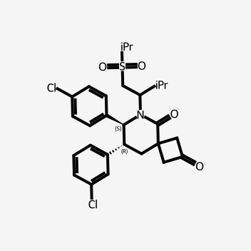 CC(C)C(CS(=O)(=O)C(C)C)N1C(=O)C2(CC(=O)C2)C[C@H](c2cccc(Cl)c2)[C@H]1c1ccc(Cl)cc1